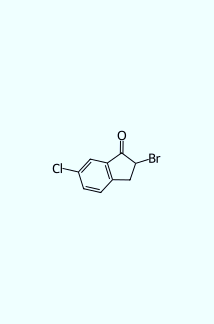 O=C1c2cc(Cl)ccc2CC1Br